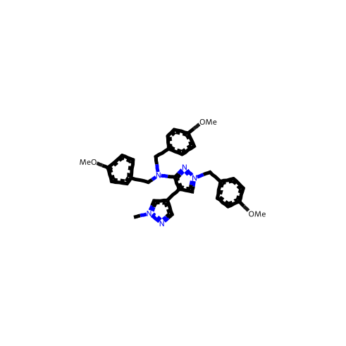 COc1ccc(CN(Cc2ccc(OC)cc2)c2nn(Cc3ccc(OC)cc3)cc2-c2cnn(C)c2)cc1